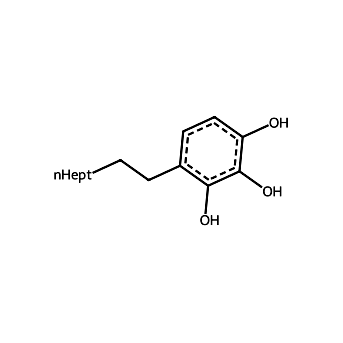 CCCCCCCCCc1ccc(O)c(O)c1O